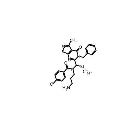 CCC(c1nc2snc(C)c2c(=O)n1Cc1ccccc1)N(CCCN)C(=O)c1ccc(Cl)cc1.[Cl-].[H+]